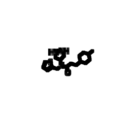 CC1CCC(CCC(=O)N(Cc2cccs2)C2CNNC2)CC1